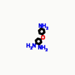 Nc1ccc(Oc2ccc(N)c(N)c2)cc1